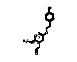 C/C=C(\C)[C@@H](CC=O)CC(=O)OCCc1ccc(O)cc1